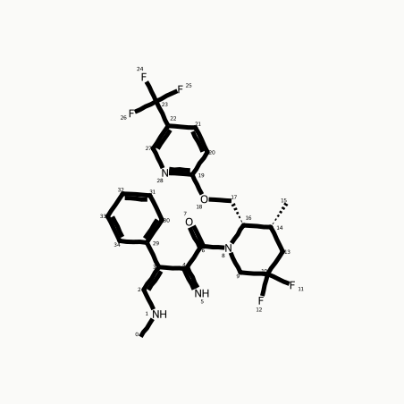 CN/C=C(\C(=N)C(=O)N1CC(F)(F)C[C@@H](C)[C@H]1COc1ccc(C(F)(F)F)cn1)c1ccccc1